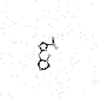 O=[N+]([O-])c1cnc(Sc2cncc[n+]2[O-])s1